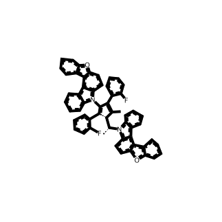 CC1=C(c2ccccc2F)C(n2c3ccccc3c3c4c(ccc32)oc2ccccc24)=C(c2ccccc2F)[C@H]1[C@@H](C)n1c2ccccc2c2c3c(ccc21)oc1ccccc13